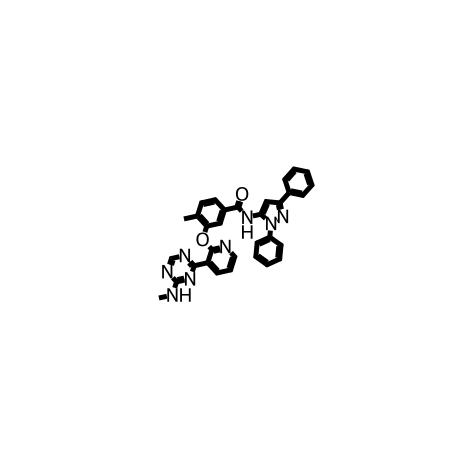 CNc1ncnc(-c2cccnc2Oc2cc(C(=O)Nc3cc(-c4ccccc4)nn3-c3ccccc3)ccc2C)n1